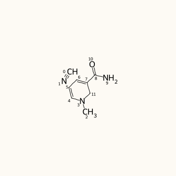 C#N.CN1C=CC=C(C(N)=O)C1